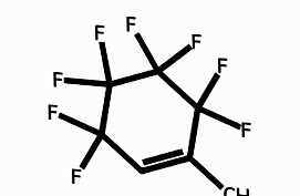 CC1=CC(F)(F)C(F)(F)C(F)(F)C1(F)F